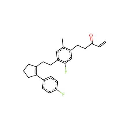 C=CC(=O)CCc1cc(F)c(CCC2=C(c3ccc(F)cc3)CCC2)cc1C